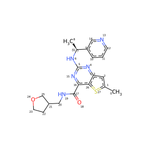 Cc1cc2nc(N[C@@H](C)c3cccnc3)nc(C(=O)NCC3CCOC3)c2s1